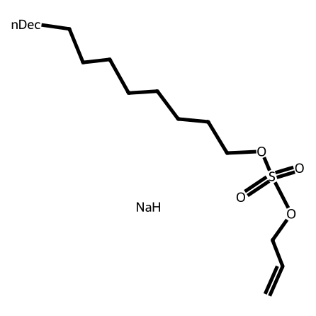 C=CCOS(=O)(=O)OCCCCCCCCCCCCCCCCCC.[NaH]